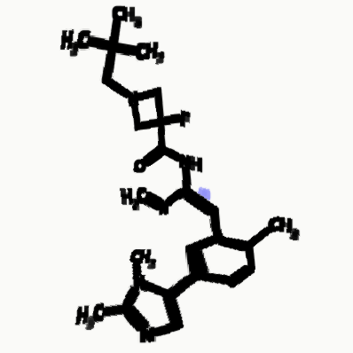 C=N/C(=C\c1cc(-c2cnc(C)n2C)ccc1C)NC(=O)C1(F)CN(CC(C)(C)C)C1